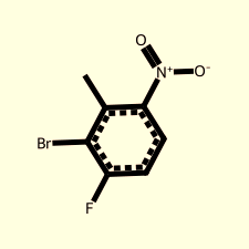 Cc1c([N+](=O)[O-])ccc(F)c1Br